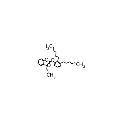 CCCCCCc1cccc(OC(=O)Oc2ccccc2CCCC)c1CCCCCC